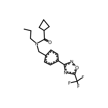 CCCN(Cc1ccc(-c2noc(C(F)(F)F)n2)cc1)C(=O)C1CCC1